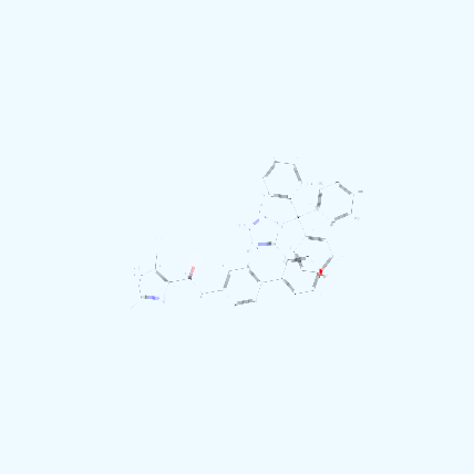 CCCc1nc(C(=O)Cc2ccc(-c3ccccc3-c3nnnn3C(c3ccccc3)(c3ccccc3)c3ccccc3)cc2)c(C=O)[nH]1